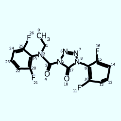 CCN(C(=O)n1nnn(-c2c(F)cccc2F)c1=O)c1c(F)cccc1F